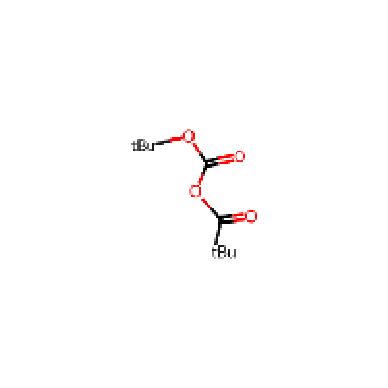 CC(C)(C)OC(=O)OC(=O)C(C)(C)C